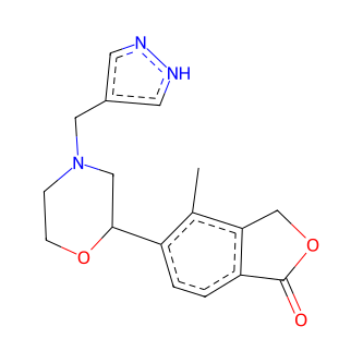 Cc1c(C2CN(Cc3cn[nH]c3)CCO2)ccc2c1COC2=O